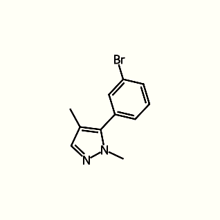 Cc1cnn(C)c1-c1cccc(Br)c1